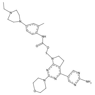 CCN1CCN(c2ccc(NC(=O)OSN3CCc4c(-c5cnc(N)nc5)nc(N5CCOCC5)nc43)c(C)c2)CC1